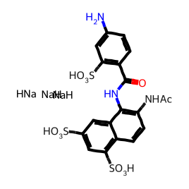 CC(=O)Nc1ccc2c(S(=O)(=O)O)cc(S(=O)(=O)O)cc2c1NC(=O)c1ccc(N)cc1S(=O)(=O)O.[NaH].[NaH].[NaH]